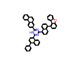 c1ccc(-c2ccc(C3N=C(c4cccc5c(-c6cccc7oc8ccccc8c67)cccc45)N=C(c4ccc5c(ccc6ccccc65)c4)N3)c3ccccc23)cc1